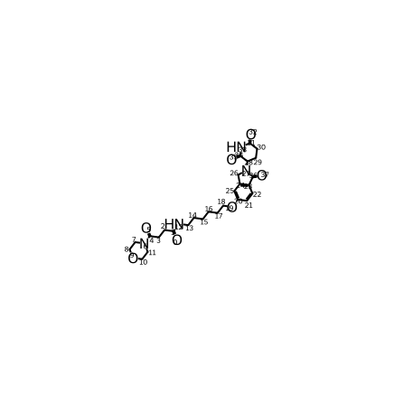 O=C(CCC(=O)N1CCOCC1)NCCCCCCOc1ccc2c(c1)CN(C1CCC(=O)NC1=O)C2=O